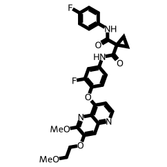 COCCOc1cc2nccc(Oc3ccc(NC(=O)C4(C(=O)Nc5ccc(F)cc5)CC4)cc3F)c2nc1OC